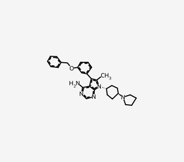 Cc1c(-c2cccc(OCc3ccccc3)c2)c2c(N)ncnc2n1[C@H]1CC[C@H](N2CCCC2)CC1